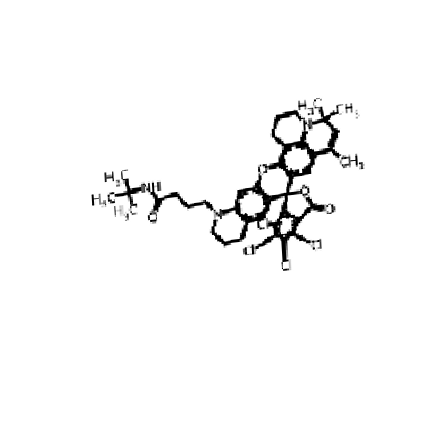 CC1=CC(C)(C)N2CCCc3c4c(cc1c32)C1(OC(=O)c2c(Cl)c(Cl)c(Cl)c(Cl)c21)c1cc2c(cc1O4)N(CCCC(=O)NC(C)(C)C)CCC2